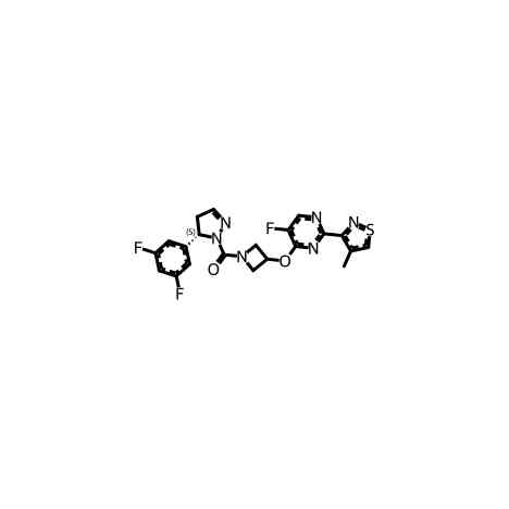 Cc1csnc1-c1ncc(F)c(OC2CN(C(=O)N3N=CC[C@H]3c3cc(F)cc(F)c3)C2)n1